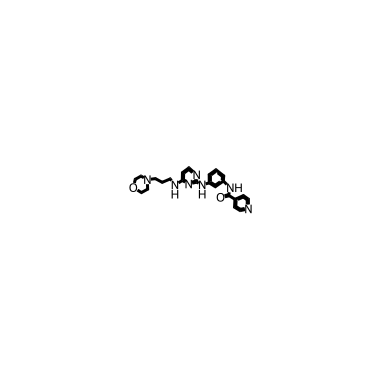 O=C(Nc1cccc(Nc2nccc(NCCCN3CCOCC3)n2)c1)c1ccncc1